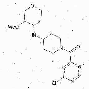 COC1COCCC1NC1CCN(C(=O)c2cc(Cl)ncn2)CC1